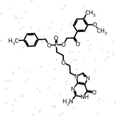 COc1cc(C(=O)COP(=O)(CCOCCn2cnc3c(=O)[nH]c(N)nc32)OCc2ccc(C)cc2)ccc1C